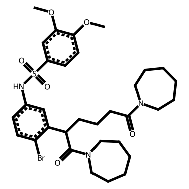 COc1ccc(S(=O)(=O)Nc2ccc(Br)c(C(CCCC(=O)N3CCCCCC3)C(=O)N3CCCCCC3)c2)cc1OC